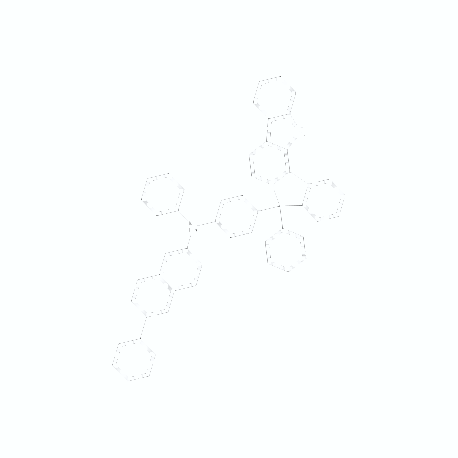 c1ccc(-c2ccc3cc(N(c4ccccc4)c4ccc(C5(c6ccccc6)c6ccccc6-c6c5ccc5c6sc6ccccc65)cc4)ccc3c2)cc1